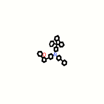 C1=CC(C2(c3ccc(N(c4ccc(-c5ccccc5)cc4)c4ccc(-c5cccc6c5oc5ccccc56)cc4)cc3)c3ccccc3-c3ccccc32)=CCC1